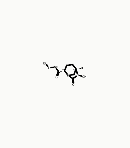 [CH2]CONC(=O)[C@@H]1CC[C@@H]2CN1C(=O)N2O